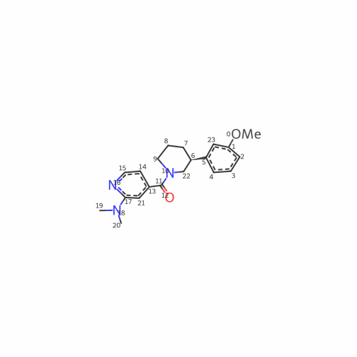 COc1cccc([C@@H]2CCCN(C(=O)c3ccnc(N(C)C)c3)C2)c1